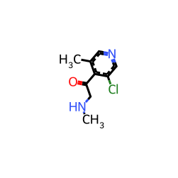 CNCC(=O)c1c(C)cncc1Cl